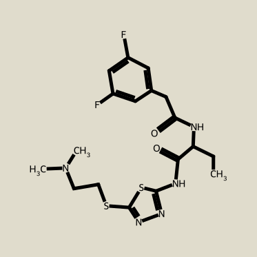 CCC(NC(=O)Cc1cc(F)cc(F)c1)C(=O)Nc1nnc(SCCN(C)C)s1